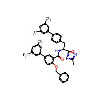 Cc1noc(C(Cc2ccc(-c3cc(C(F)(F)F)cc(C(F)(F)F)c3)cc2)NC(=O)c2cc(-c3cc(C(F)(F)F)cc(C(F)(F)F)c3)ccc2OCc2ccccc2)n1